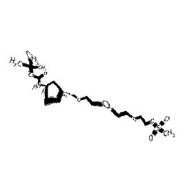 CC(C)(C)OC(=O)N[C@@H]1CC[C@@H](COCCOCCOCCOS(C)(=O)=O)C1